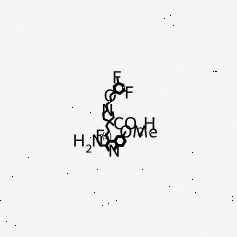 COc1ccc2ncc(CN)c([C@@H](F)CCC3(CC(=O)O)CCN(CCOc4cc(F)cc(F)c4)CC3)c2c1